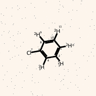 [2H]c1c([2H])c([2H])c(Cl)c([2H])c1[2H]